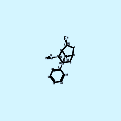 CCCC[C@@H]1C2[C@@H](F)CC(C[C@@H]1c1ccccc1)N2C